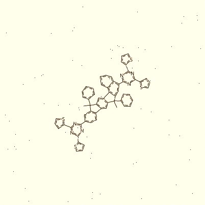 CC1(c2ccccc2)c2cc(-c3nc(-c4cccs4)nc(-c4cccs4)n3)ccc2-c2cc3c(cc21)-c1c(cc(-c2nc(-c4cccs4)nc(-c4cccs4)n2)c2ccccc12)C3(C)c1ccccc1